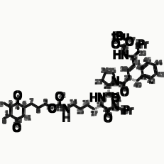 CC1=C(C)C(=O)C(CCCOC(=O)NCCCC[C@H](NC(=O)[C@@H]2CCCN2C(=O)[C@H](/C=C/[C@H](CC(C)C)NC(=O)OC(C)(C)C)Cc2ccccc2)C(=O)NC(C)C)=CC1=O